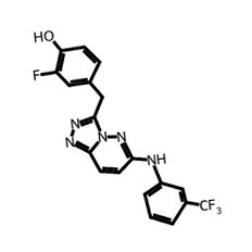 Oc1ccc(Cc2nnc3ccc(Nc4cccc(C(F)(F)F)c4)nn23)cc1F